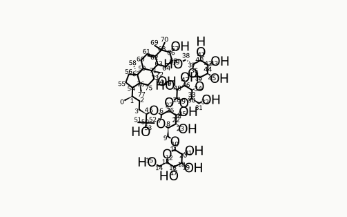 C[C@H](CC[C@@H](O[C@@H]1O[C@H](CO[C@H]2O[C@H](CO)[C@@H](O)[C@H](O)[C@H]2O)[C@@H](O)[C@H](O)[C@H]1O[C@@H]1O[C@H](CO)[C@@H](O[C@@H]2O[C@H](CO)[C@@H](O)[C@H](O)[C@H]2O)[C@H](O)[C@H]1O)C(C)(C)O)C1CC[C@@]2(C)C3CC=C4C(CC[C@H](O)C4(C)C)[C@]3(C)[C@H](O)C[C@]12C